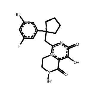 CCc1cc(F)cc(C2(Cc3nc(=O)c(O)c4n3CCN(C(C)C)C4=O)CCCC2)c1